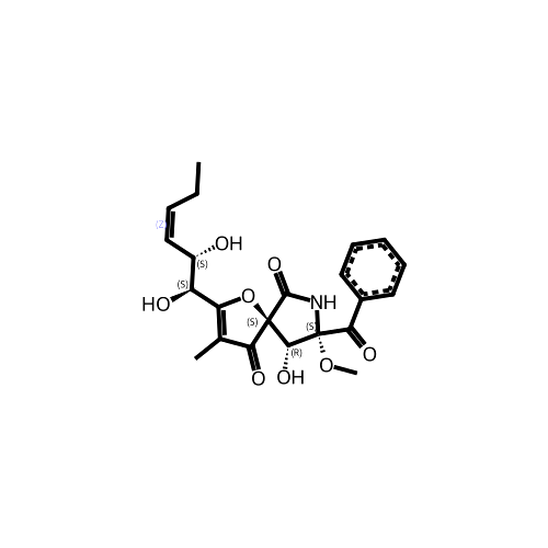 CC/C=C\[C@H](O)[C@H](O)C1=C(C)C(=O)[C@]2(O1)C(=O)N[C@@](OC)(C(=O)c1ccccc1)[C@@H]2O